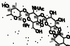 CCCO[C@@H]1OC(C)[C@H](O)[C@H](C)C1O[C@@H]1OC(CO)[C@H](O)[C@H](O[C@@H]2OC(C(=O)O)[C@H](O[C@@H]3O[C@@H](C)[C@H](O)C(O)C3O)[C@H](O)C2O)C1NC(C)=O